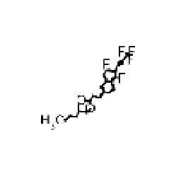 CCCCC1COC(CCc2ccc3c(F)c(C#CC(F)(F)F)c(F)cc3c2)OC1